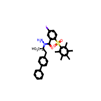 Cc1c(C)c(C)c(S(=O)(=O)c2ccc(I)cc2C(=O)N(N)[C@@H](Cc2ccc(-c3ccccc3)cc2)C(=O)O)c(C)c1C